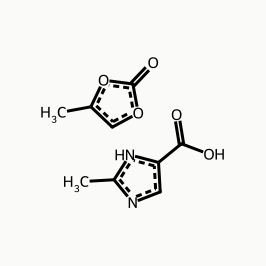 Cc1coc(=O)o1.Cc1ncc(C(=O)O)[nH]1